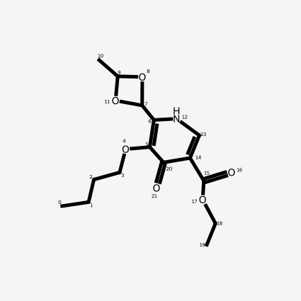 CCCCOc1c(C2OC(C)O2)[nH]cc(C(=O)OCC)c1=O